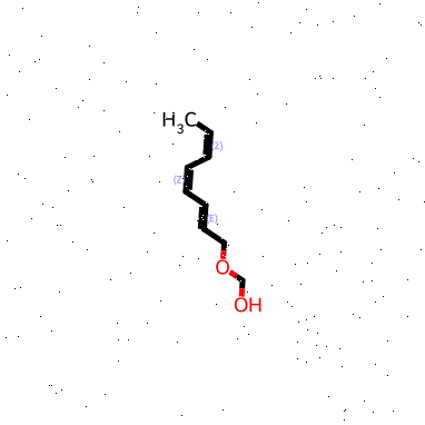 C\C=C/C=C\C=C\COCO